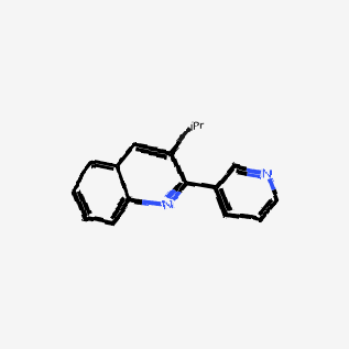 CC(C)c1cc2ccccc2nc1-c1cccnc1